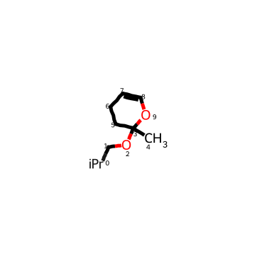 CC(C)COC1(C)CCC=CO1